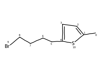 Cc1ccc(CCCCBr)s1